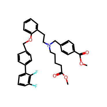 COC(=O)CCCCN(CCc1ccccc1OCc1ccc(-c2cccc(F)c2F)cc1)Cc1ccc(C(=O)OC)cc1